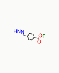 N=NCc1ccc(C(=O)OF)cc1